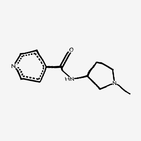 CN1CCC(NC(=O)c2ccncc2)C1